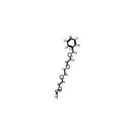 ISOCCOCCOCCOCc1ccccc1